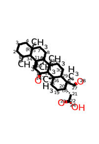 C[C@H]1CCC[C@]2(C)CC[C@]3(C)C(=CC(=O)C4[C@@]5(C)CC[C@@H](CC(=O)O)[C@](C)(C=O)C5CC[C@]43C)C12